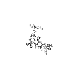 CN(C)CCCNc1ccc([N+](=O)[O-])c2[nH]c3ccc(CC(C)(C)C(=O)O)cc3c(=O)c12